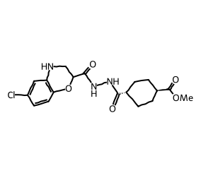 COC(=O)[C@H]1CC[C@H](C(=O)NNC(=O)C2CNc3cc(Cl)ccc3O2)CC1